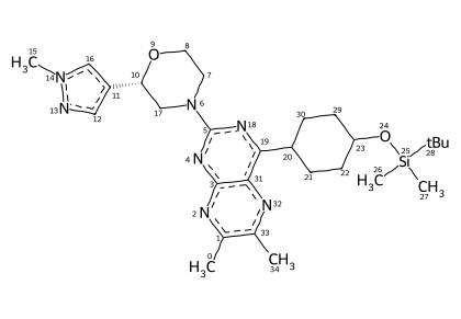 Cc1nc2nc(N3CCO[C@@H](c4cnn(C)c4)C3)nc(C3CCC(O[Si](C)(C)C(C)(C)C)CC3)c2nc1C